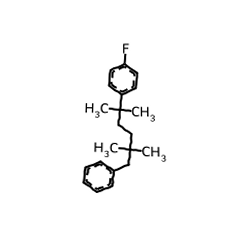 CC(C)(CCC(C)(C)c1ccc(F)cc1)Cc1ccccc1